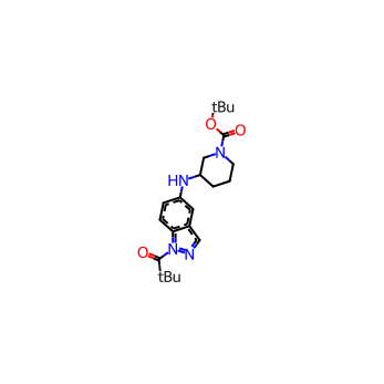 CC(C)(C)OC(=O)N1CCCC(Nc2ccc3c(cnn3C(=O)C(C)(C)C)c2)C1